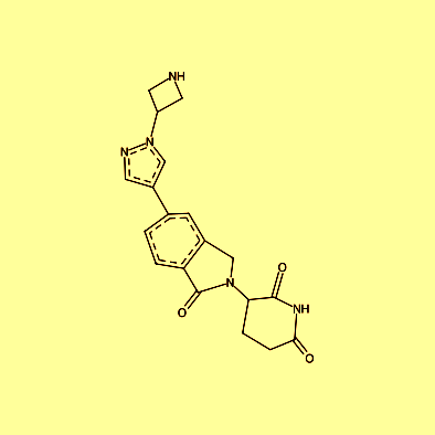 O=C1CCC(N2Cc3cc(-c4cnn(C5CNC5)c4)ccc3C2=O)C(=O)N1